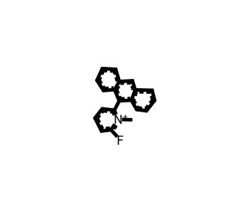 C[n+]1c(F)cccc1-c1c2ccccc2cc2ccccc12